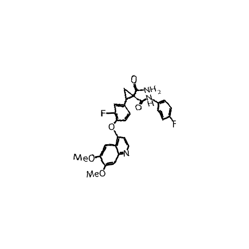 COc1cc2nccc(Oc3ccc(C4CC4(C(N)=O)C(=O)Nc4ccc(F)cc4)cc3F)c2cc1OC